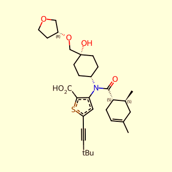 CC1=CC[C@H](C(=O)N(c2cc(C#CC(C)(C)C)sc2C(=O)O)[C@H]2CC[C@](O)(CO[C@@H]3CCOC3)CC2)[C@@H](C)C1